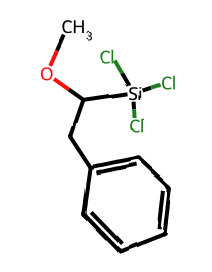 COC(Cc1ccccc1)[Si](Cl)(Cl)Cl